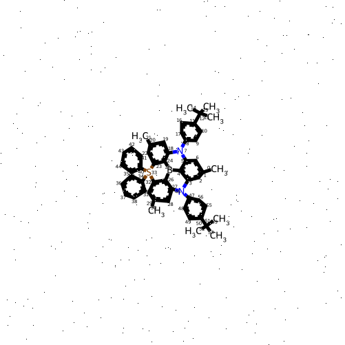 Cc1cc2c3c(c1)N(c1ccc(C(C)(C)C)cc1)c1cc(C)cc4c1B3c1c(cc(C)cc1S4(c1ccccc1)c1ccccc1)N2c1ccc(C(C)(C)C)cc1